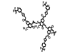 Cc1cc(=O)n(C2CC2CSc2c3c(n(CCc4cc(=O)n(CC(F)(F)F)c5c4CN(C(=O)CC4CN(c6ccc(C(F)(F)F)cc6)C4)C5)c(=O)c2C)CN(C(=O)CC2CN(c4ccnc(C(F)(F)F)c4)C2)C3)c2c1CN(C(=O)CC1CN(c3ccnc(C(F)(F)F)c3)C1)C2